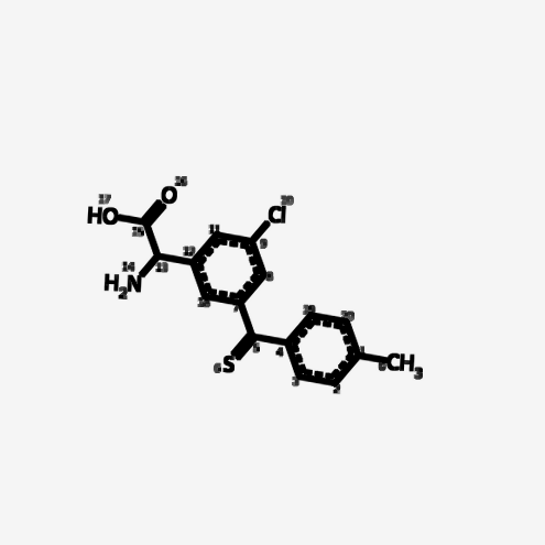 Cc1ccc(C(=S)c2cc(Cl)cc(C(N)C(=O)O)c2)cc1